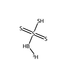 [3H]BS(=S)(=S)S